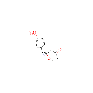 O=C1CCO/C(=C/c2ccc(O)cc2)C1